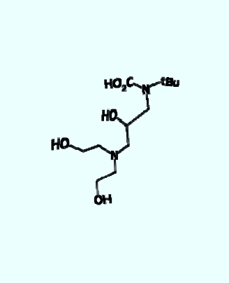 CC(C)(C)N(CC(O)CN(CCO)CCO)C(=O)O